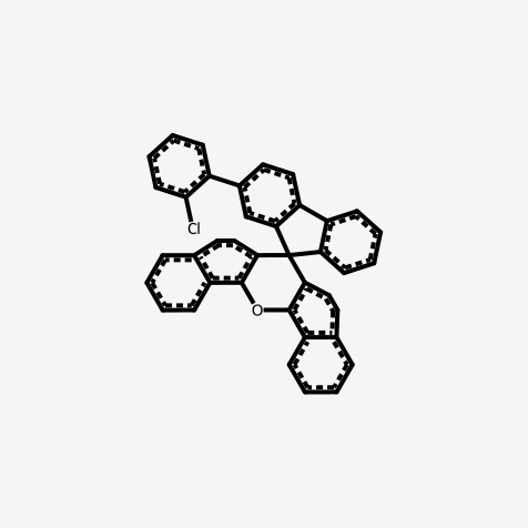 Clc1ccccc1-c1ccc2c(c1)C1(c3ccccc3-2)c2ccc3ccccc3c2Oc2c1ccc1ccccc21